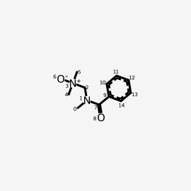 CN(C[N+](C)(C)[O-])C(=O)c1ccccc1